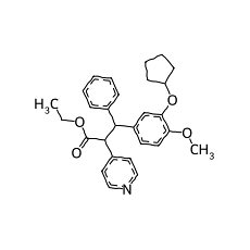 CCOC(=O)C(c1ccncc1)C(c1ccccc1)c1ccc(OC)c(OC2CCCC2)c1